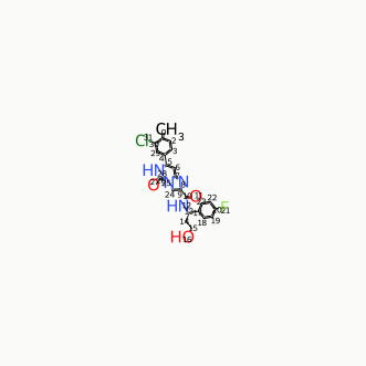 Cc1ccc(-c2cc3nc(C(=O)N[C@H](CCO)c4ccc(F)cc4)cn3c(=O)[nH]2)cc1Cl